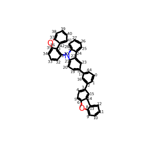 c1cc(-c2ccc3oc4ccccc4c3c2)cc(-c2ccc3c(c2)c2ccccc2n3-c2cccc3oc4ccccc4c23)c1